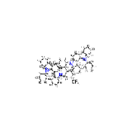 N#Cc1ccc(-n2c3ccccc3c3c2ccc2c4ccccc4n(-c4ccccc4)c23)c(-c2ccc(C(F)(F)F)cc2-n2c3ccccc3c3c2ccc2c4ccccc4n(-c4ccccc4)c23)c1